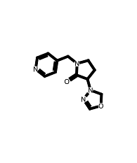 O=C1C(N2COC=N2)CCN1Cc1ccncc1